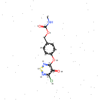 CNC(=O)OCc1ccc(Oc2nsnc(Cl)c2=O)cc1